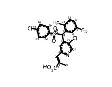 C/C(=C\c1cc(C(c2cc(F)ccc2F)S(=O)(=O)c2ccc(Cl)cc2)c(Cl)cn1)C(=O)O